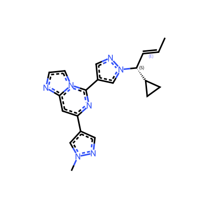 C/C=C/[C@H](C1CC1)n1cc(-c2nc(-c3cnn(C)c3)cc3nccn23)cn1